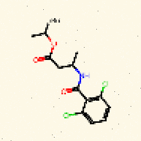 CCCCC(C)OC(=O)CC(C)NC(=O)c1c(Cl)cccc1Cl